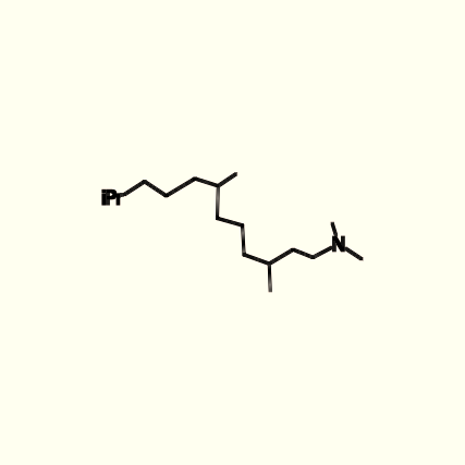 CC(C)CCCC(C)CCCC(C)CCN(C)C